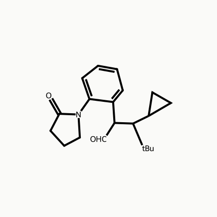 CC(C)(C)C(C1CC1)C(C=O)c1ccccc1N1CCCC1=O